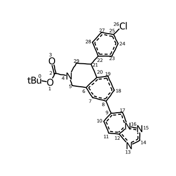 CC(C)(C)OC(=O)N1Cc2cc(-c3ccc4ncnn4c3)ccc2C(c2ccc(Cl)cc2)C1